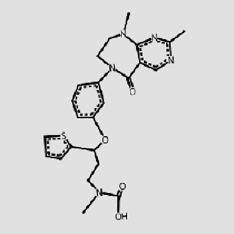 Cc1ncc2c(n1)N(C)CCN(c1cccc(OC(CCN(C)C(=O)O)c3cccs3)c1)C2=O